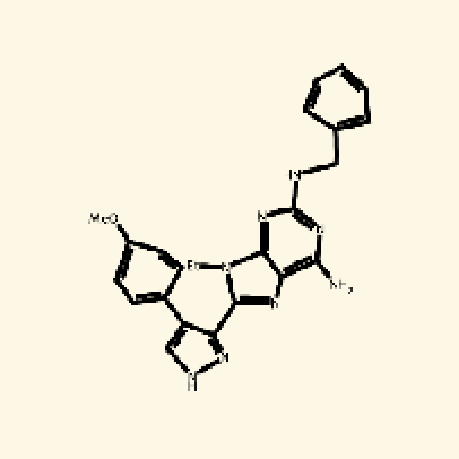 CCn1c(-c2n[nH]cc2-c2ccc(OC)cc2)nc2c(N)nc(NCc3ccccc3)nc21